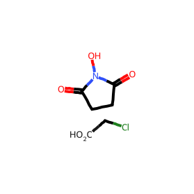 O=C(O)CCl.O=C1CCC(=O)N1O